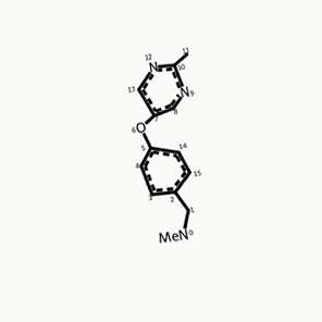 CNCc1ccc(Oc2cnc(C)nc2)cc1